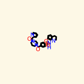 O=C(c1ccc(S(=O)(=O)Nc2cccc3c2N=CCC3)cc1)N1CCCN(C(=O)c2ccccn2)CC1